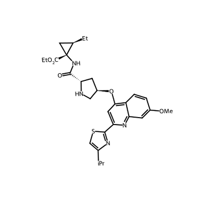 CCOC(=O)[C@@]1(NC(=O)[C@@H]2C[C@@H](Oc3cc(-c4nc(C(C)C)cs4)nc4cc(OC)ccc34)CN2)C[C@H]1CC